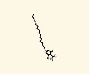 CCCCCCCCCCCCCCCCCSc1cc(F)c(C(=O)NC)c(F)c1